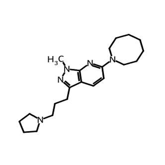 Cn1nc(CCCN2CCCC2)c2ccc(N3CCCCCCC3)nc21